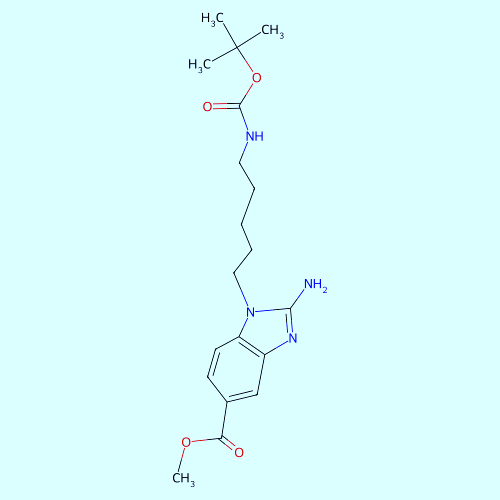 COC(=O)c1ccc2c(c1)nc(N)n2CCCCCNC(=O)OC(C)(C)C